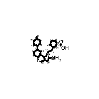 Cc1ccc(-c2ccc3ncc4c(c3c2)N(CCc2ccccc2)C(N)C4)cc1.O=CO